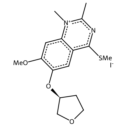 COc1cc2c(cc1O[C@H]1CCOC1)c(SC)nc(C)[n+]2C.[I-]